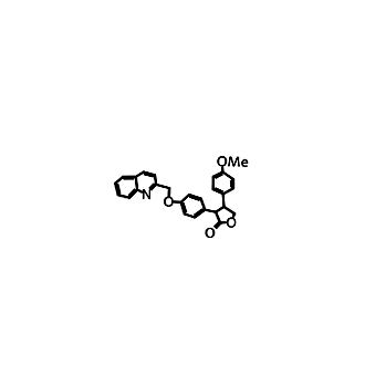 COc1ccc(C2COC(=O)C2c2ccc(OCc3ccc4ccccc4n3)cc2)cc1